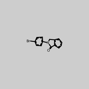 O=C1c2ccccc2CN1c1ccc(Br)cc1